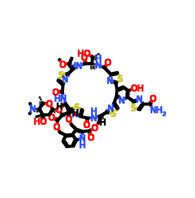 CO/C(C)=C1/NC(=O)[C@H]([C@@H](C)O)NC(=O)c2csc(n2)-c2cc(O)c(-c3nc(C(N)=O)cs3)nc2-c2csc(n2)[C@@H]2COC(=O)c3[nH]c4cccc5c4c3CO[C@H]([C@H](O[C@H]3C[C@](C)(O)[C@H](N(C)C)[C@H](C)O3)C(=O)OC5)[C@H](NC(=O)c3csc1n3)c1nc(cs1)C(=O)N2